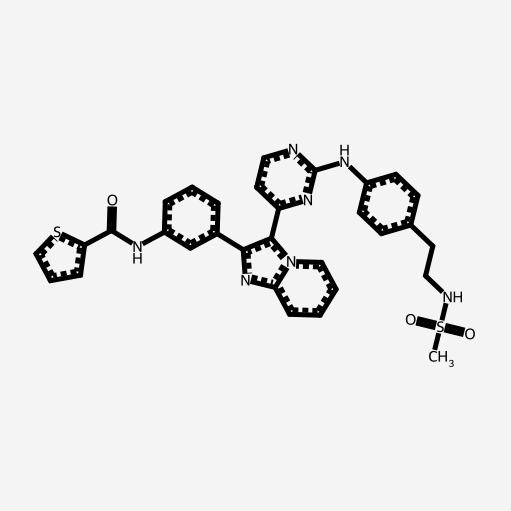 CS(=O)(=O)NCCc1ccc(Nc2nccc(-c3c(-c4cccc(NC(=O)c5cccs5)c4)nc4ccccn34)n2)cc1